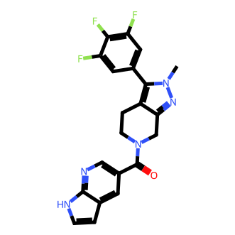 Cn1nc2c(c1-c1cc(F)c(F)c(F)c1)CCN(C(=O)c1cnc3[nH]ccc3c1)C2